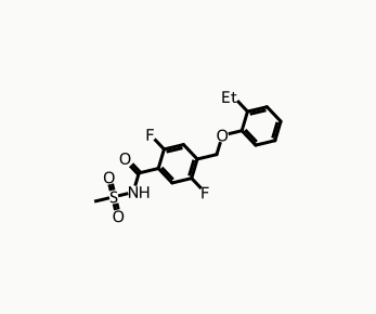 CCc1ccccc1OCc1cc(F)c(C(=O)NS(C)(=O)=O)cc1F